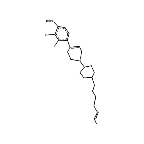 C/C=C/CCCCC1CCC(C2CC=C(c3ccc(CCCCCC)c(F)c3F)CC2)CC1